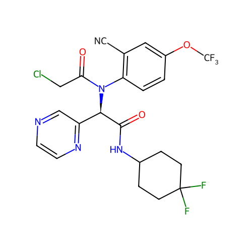 N#Cc1cc(OC(F)(F)F)ccc1N(C(=O)CCl)[C@@H](C(=O)NC1CCC(F)(F)CC1)c1cnccn1